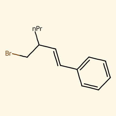 [CH2]CCC(C=Cc1ccccc1)CBr